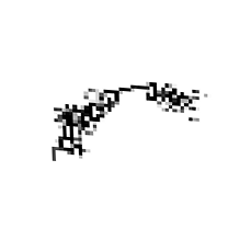 O=C(O)C(Cc1cc(F)cc(F)c1)NS(=O)(=O)c1ccc(N2CCC(CCCC3CCN(S(=O)(=O)c4cc(Br)c(Cl)s4)CC3)CC2)c(Cl)c1